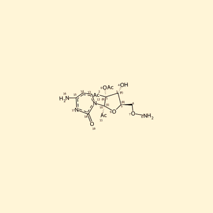 CC(=O)O[C@]1(C(C)=O)[C@H](O)[C@@H](CON)O[C@@]1(C(C)=O)n1ccc(N)nc1=O